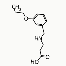 CCCOc1cccc(CNCCC(=O)O)c1